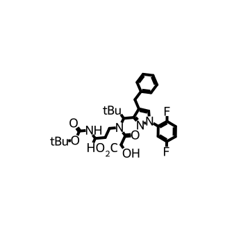 CC(C)(C)OC(=O)NC(CCN(C(=O)CO)C(c1nn(-c2cc(F)ccc2F)cc1Cc1ccccc1)C(C)(C)C)C(=O)O